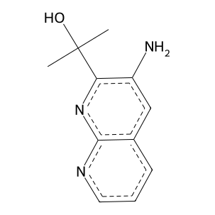 CC(C)(O)c1nc2ncccc2cc1N